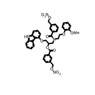 COc1ccccc1OCCN(CC(COc1cccc2[nH]c3ccccc3c12)OC(=O)c1cccc(CO[N+](=O)[O-])c1)C(=O)c1cccc(CO[N+](=O)[O-])c1